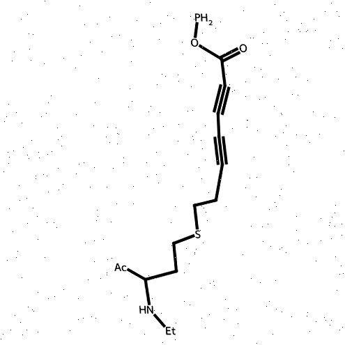 CCNC(CCSCCC#CC#CC(=O)OP)C(C)=O